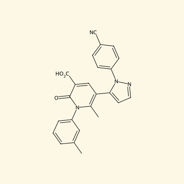 Cc1cccc(-n2c(C)c(-c3ccnn3-c3ccc(C#N)cc3)cc(C(=O)O)c2=O)c1